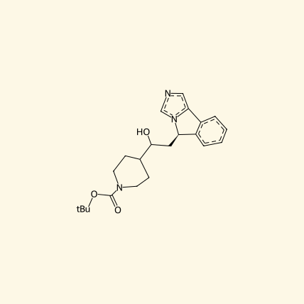 CC(C)(C)OC(=O)N1CCC(C(O)C[C@@H]2c3ccccc3-c3cncn32)CC1